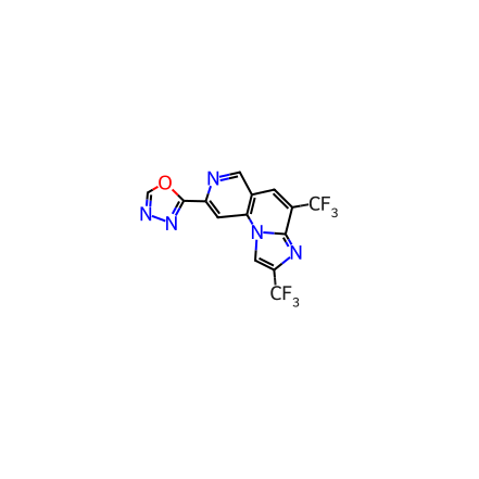 FC(F)(F)c1cn2c(n1)c(C(F)(F)F)cc1cnc(-c3nnco3)cc12